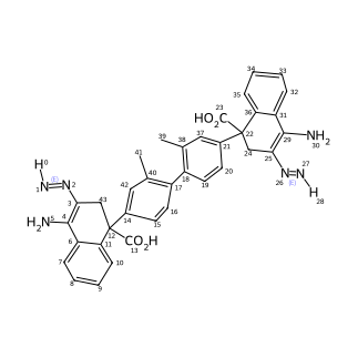 [H]/N=N/C1=C(N)c2ccccc2C(C(=O)O)(c2ccc(-c3ccc(C4(C(=O)O)CC(/N=N/[H])=C(N)c5ccccc54)cc3C)c(C)c2)C1